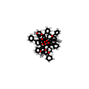 Brc1ccc(-c2c(C3(C(=C(c4ccccc4)c4ccccc4)c4ccccc4)C=CC(c4ccccc4)=CC3)c(-c3ccc(Br)cc3)c(C3(C(=C(c4ccccc4)c4ccccc4)c4ccccc4)C=CC(c4ccccc4)=CC3)c(-c3ccc(Br)cc3)c2C2(C(=C(c3ccccc3)c3ccccc3)c3ccccc3)C=CC(c3ccccc3)=CC2)cc1